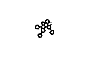 c1ccc(-c2cc(-c3c4ccccc4c(-c4ccccc4)c4cc(-c5ccccc5)ccc34)c3c(c2)oc2ccccc23)cc1